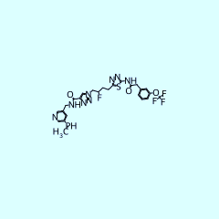 CPc1cncc(CNC(=O)c2cn(CC(F)CCc3nnc(NC(=O)Cc4cccc(OC(F)(F)F)c4)s3)nn2)c1